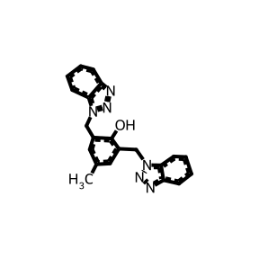 Cc1cc(Cn2nnc3ccccc32)c(O)c(Cn2nnc3ccccc32)c1